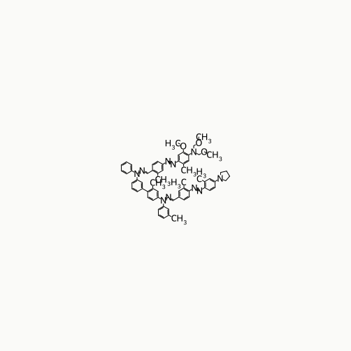 COCN(COC)c1cc(C)c(N=Nc2ccc(/C=N/N(c3ccccc3)c3cccc(-c4ccc(N(/N=C/c5ccc(N=Nc6ccc(N7CCCC7)cc6C)c(C)c5)c5cccc(C)c5)cc4C)c3)c(C)c2)cc1OC